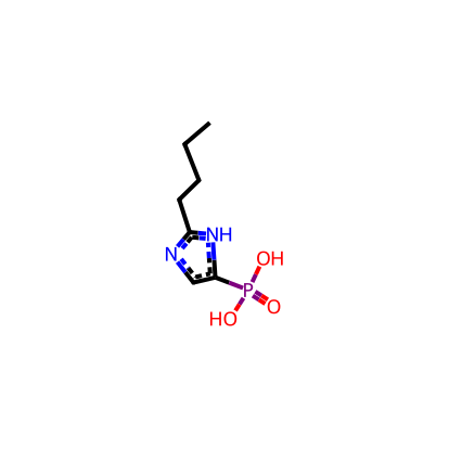 CCCCc1ncc(P(=O)(O)O)[nH]1